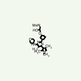 CNCC(O)COc1cccc(-c2nc(NC3CCOCC3)c(C)c(-c3c(C)cn(C)c3C)n2)c1